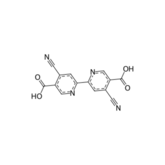 N#Cc1cc(-c2cc(C#N)c(C(=O)O)cn2)ncc1C(=O)O